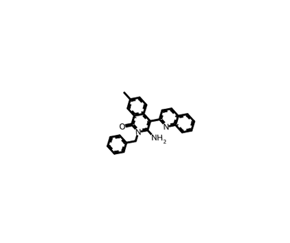 Cc1ccc2c(-c3ccc4ccccc4n3)c(N)n(Cc3ccccc3)c(=O)c2c1